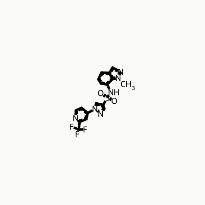 Cn1ncc2cccc(NS(=O)(=O)c3cnn(-c4ccnc(C(F)(F)F)c4)c3)c21